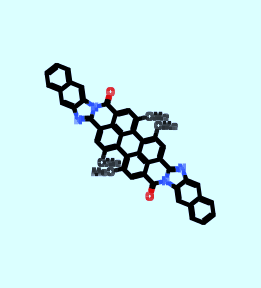 COc1cc2c(=O)n3c4cc5ccccc5cc4nc3c3cc(OC)c4c5c(OC)cc6c(=O)n7c8cc9ccccc9cc8nc7c7cc(OC)c(c1c4c23)c5c67